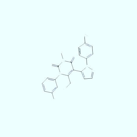 Cn1c(=O)c(-c2ccnn2-c2ccc(C#N)cc2)c(CO)n(-c2cccc(C(F)(F)F)c2)c1=O